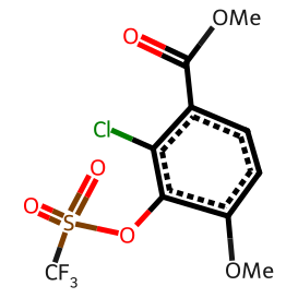 COC(=O)c1ccc(OC)c(OS(=O)(=O)C(F)(F)F)c1Cl